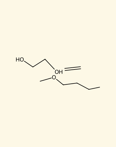 C=C.CCCCOC.OCCO